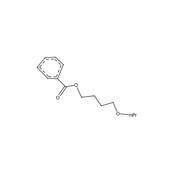 [CH2]CCOCCCCOC(=O)c1ccccc1